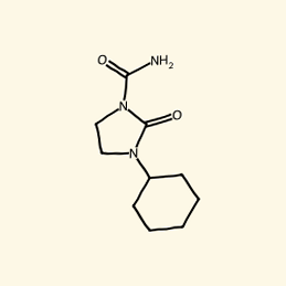 NC(=O)N1CCN(C2CCCCC2)C1=O